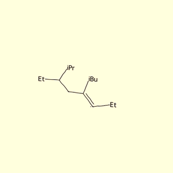 CC/[C]=C(/CC(CC)C(C)C)C(C)CC